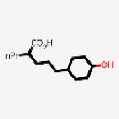 CCCC(CCCC1CCC(O)CC1)C(=O)O